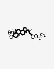 CCOC(=O)CC[C@@H](C)[C@H]1CCC2C3CC[C@@H]4[C@H](Br)C(=O)CC[C@]4(C)C3CC[C@@]21C